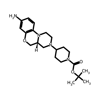 CC(C)(C)OC(=O)N1CCC(N2CCN3c4ccc(N)cc4OC[C@H]3C2)CC1